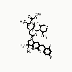 CC1COCC(C)N1C[C@H]1CN(C(=O)OC(C)(C)C)[C@H](C)CN1CC(=O)N1CC(C)(C)c2[nH]c(=O)c(Cc3ccc(F)cc3F)cc21